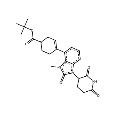 Cn1c(=O)n(C2CCC(=O)NC2=O)c2cccc(C3=CCN(C(=O)OC(C)(C)C)CC3)c21